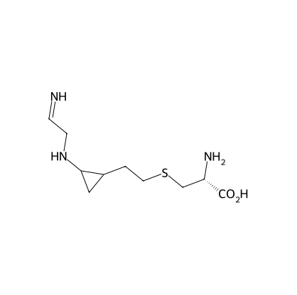 N=CCNC1CC1CCSC[C@H](N)C(=O)O